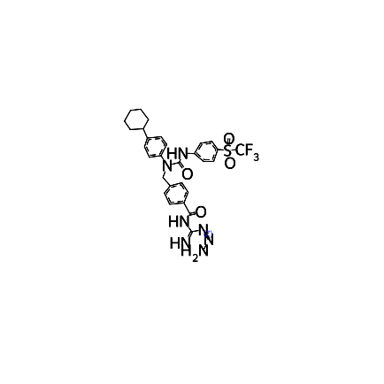 N=C(/N=N\N)NC(=O)c1ccc(CN(C(=O)Nc2ccc(S(=O)(=O)C(F)(F)F)cc2)c2ccc(C3CCCCC3)cc2)cc1